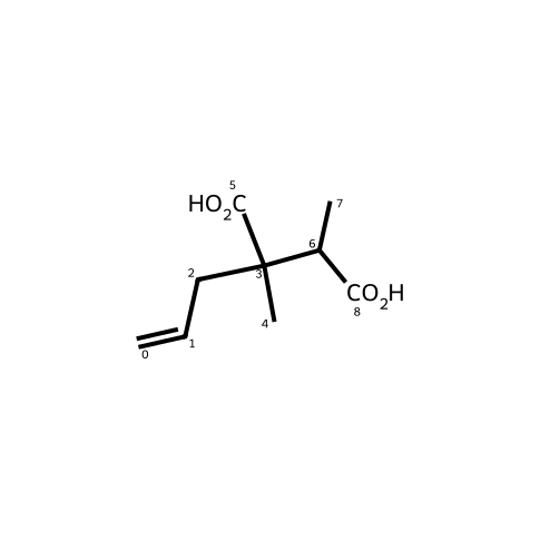 C=CCC(C)(C(=O)O)C(C)C(=O)O